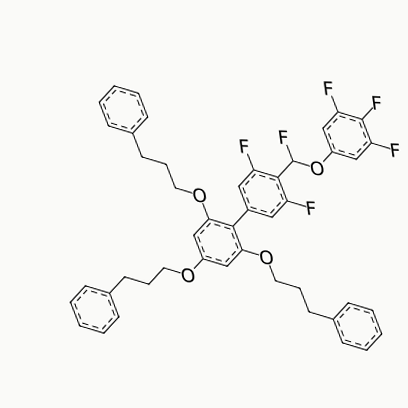 Fc1cc(OC(F)c2c(F)cc(-c3c(OCCCc4ccccc4)cc(OCCCc4ccccc4)cc3OCCCc3ccccc3)cc2F)cc(F)c1F